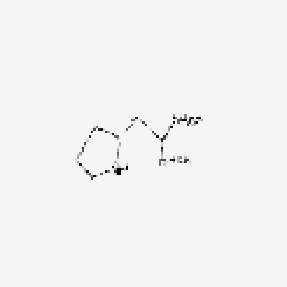 CCCCCCC(CCCCCC)C[C@H]1CCCN1